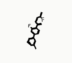 C=C(F)/C=C\C(=C)c1ccc(-c2cccc(C)c2)cc1F